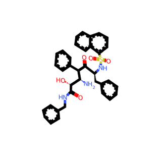 N[C@@H](C(C(=O)[C@H](Cc1ccccc1)NS(=O)(=O)c1cccc2ccccc12)c1ccccc1)[C@@H](O)C(=O)NCc1ccccc1